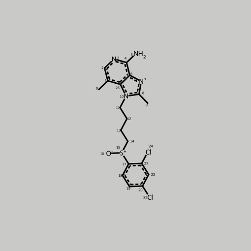 Cc1cnc(N)c2nc(C)n(CCCC[S+]([O-])c3ccc(Cl)cc3Cl)c12